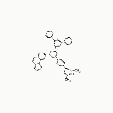 CC1=CC(c2ccc(-c3cc(-c4cc(-c5ccccc5)nc(-c5ccccc5)c4)cc(-c4ccc5ccc6ccccc6c5c4)c3)cc2)=CC(C)N1